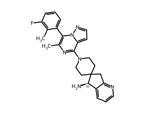 Cc1nc(N2CCC3(CC2)Cc2ncccc2[C@H]3N)c2ccnn2c1-c1cccc(F)c1C